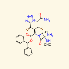 NC(=O)Cn1nnnc1C(=S)C1=C(C(=O)OC(c2ccccc2)c2ccccc2)N2C(=O)[C@](N)(NC=O)[C@@H]2SC1